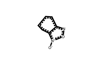 [O-][n+]1onc2ccccc21